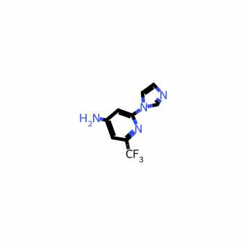 Nc1cc(-n2ccnc2)nc(C(F)(F)F)c1